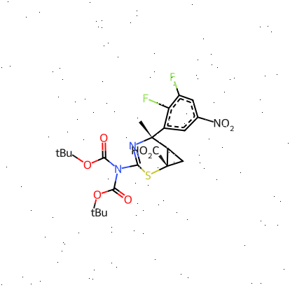 CC(C)(C)OC(=O)N(C(=O)OC(C)(C)C)C1=N[C@](C)(c2cc([N+](=O)[O-])cc(F)c2F)C2C[C@]2(C(=O)O)S1